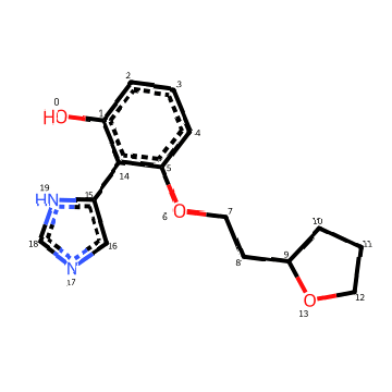 Oc1cccc(OCCC2CCCO2)c1-c1cnc[nH]1